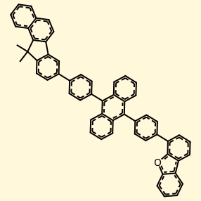 CC1(C)c2ccc(-c3ccc(-c4c5ccccc5c(-c5ccc(-c6cccc7c6oc6ccccc67)cc5)c5ccccc45)cc3)cc2-c2ccc3ccccc3c21